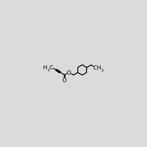 CC#CC(=O)OCC1CCC(CC)CC1